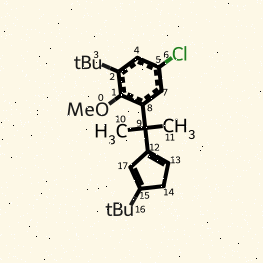 COc1c(C(C)(C)C)cc(Cl)cc1C(C)(C)C1=CCC(C(C)(C)C)=C1